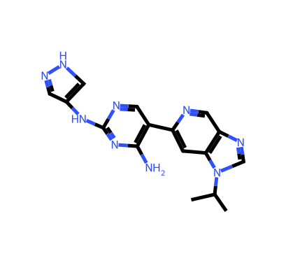 CC(C)n1cnc2cnc(-c3cnc(Nc4cn[nH]c4)nc3N)cc21